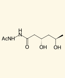 CC(=O)NNC(=O)C[C@@H](O)C[C@@H](C)O